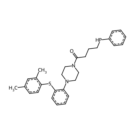 Cc1ccc(Sc2ccccc2N2CCN(C(=O)CCCPc3ccccc3)CC2)c(C)c1